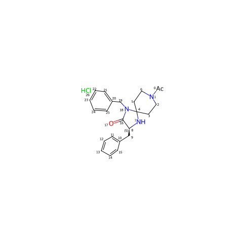 CC(=O)N1CCC2(CC1)N[C@@H](Cc1ccccc1)C(=O)N2Cc1ccccc1.Cl